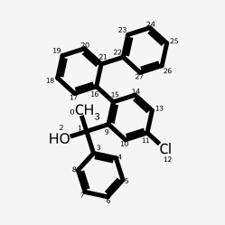 CC(O)(c1ccccc1)c1cc(Cl)ccc1-c1ccccc1-c1ccccc1